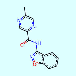 Cc1cnc(C(=O)Nc2noc3ccccc23)cn1